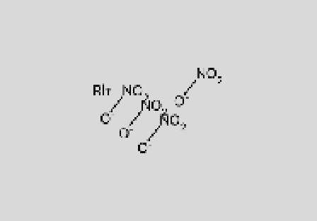 O=[N+]([O-])[O-].O=[N+]([O-])[O-].O=[N+]([O-])[O-].O=[N+]([O-])[O-].[Rh]